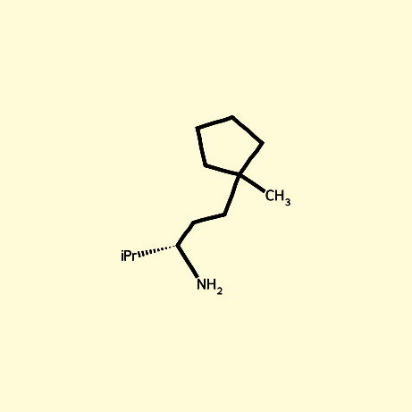 CC(C)[C@@H](N)CCC1(C)CCCC1